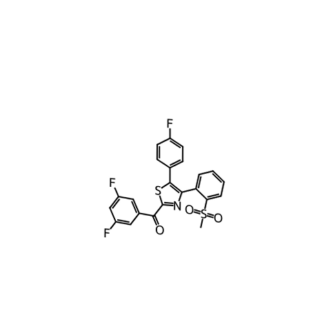 CS(=O)(=O)c1ccccc1-c1nc(C(=O)c2cc(F)cc(F)c2)sc1-c1ccc(F)cc1